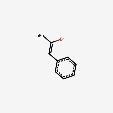 CCCCC(Br)=Cc1ccccc1